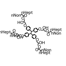 CCCCCCCCCC(CCCCCCC)C(=O)OCC(O)COc1ccc(C(c2ccc(OCC(O)COC(=O)C(CCCCCCC)CCCCCCCCC)cc2)C(c2ccc(OCC(O)COC(=O)C(CCCCCCC)CCCCCCCCC)cc2)c2ccc(OCC(O)COC(=O)C(CCCCCCC)CCCCCCCCC)cc2)cc1